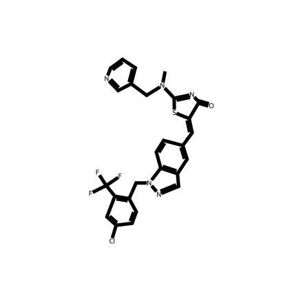 CN(Cc1cccnc1)C1=NC(=O)/C(=C/c2ccc3c(cnn3Cc3ccc(Cl)cc3C(F)(F)F)c2)S1